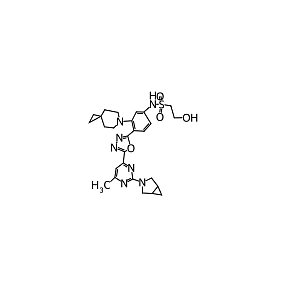 Cc1cc(-c2nnc(-c3ccc(NS(=O)(=O)CCO)cc3N3CCC4(CC3)CC4)o2)nc(N2CC3CC3C2)n1